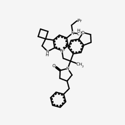 CC(C)CN(C)c1cc2c([n+](CC(C)(c3ccc4c(c3)CCO4)N3CC(Cc4ccccc4)CC3=O)c1)NCC21CCC1